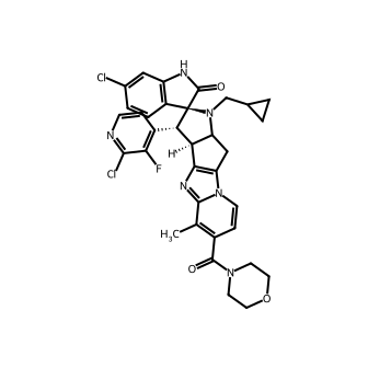 Cc1c(C(=O)N2CCOCC2)ccn2c3c(nc12)[C@@H]1C(C3)N(CC2CC2)[C@@]2(C(=O)Nc3cc(Cl)ccc32)[C@H]1c1ccnc(Cl)c1F